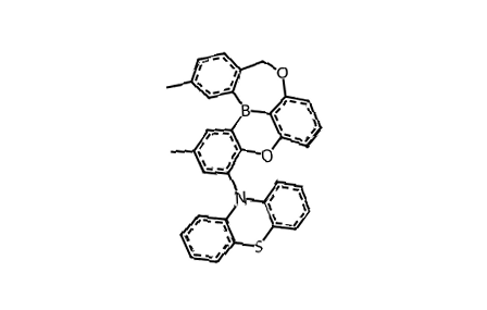 Cc1ccc2c(c1)B1c3cc(C)cc(N4c5ccccc5Sc5ccccc54)c3Oc3cccc(c31)OC2